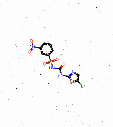 O=C(Nc1ncc(Br)s1)NS(=O)(=O)c1cccc([N+](=O)[O-])c1